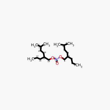 CCCC(CCC(C)C)CO[N+](=O)OCC(CCC)CCC(C)C